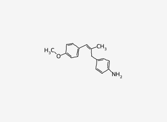 COc1ccc(C=C(C)Cc2ccc(N)cc2)cc1